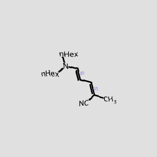 CCCCCCN(/C=C/C=C(/C)C#N)CCCCCC